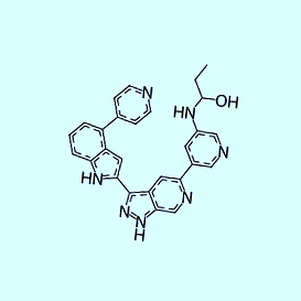 CCC(O)Nc1cncc(-c2cc3c(-c4cc5c(-c6ccncc6)cccc5[nH]4)n[nH]c3cn2)c1